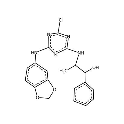 CC(Nc1nc(Cl)nc(Nc2ccc3c(c2)OCO3)n1)C(O)c1ccccc1